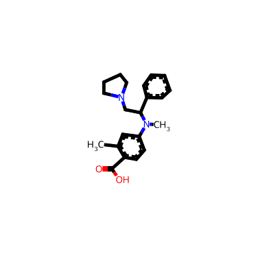 Cc1cc(N(C)C(CN2CCCC2)c2ccccc2)ccc1C(=O)O